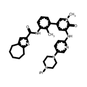 Cc1c(NC(=O)c2cc3c(s2)CCCCC3)cccc1-c1cc(Nc2ccc(N3CCN(C(C)C)CC3)cn2)c(=O)n(C)c1